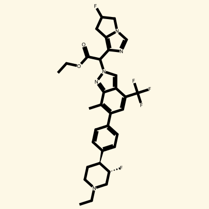 CCOC(=O)C(c1ncn2c1CC(F)C2)n1cc2c(C(F)(F)F)cc(-c3ccc([C@@H]4CCN(CC)C[C@H]4F)cc3)c(C)c2n1